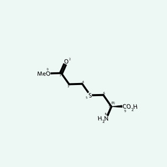 COC(=O)CCSC[C@H](N)C(=O)O